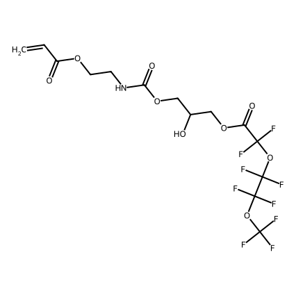 C=CC(=O)OCCNC(=O)OCC(O)COC(=O)C(F)(F)OC(F)(F)C(F)(F)OC(F)(F)F